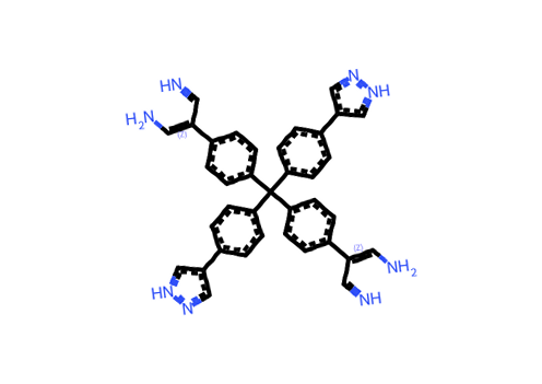 N=C/C(=C\N)c1ccc(C(c2ccc(/C(C=N)=C/N)cc2)(c2ccc(-c3cn[nH]c3)cc2)c2ccc(-c3cn[nH]c3)cc2)cc1